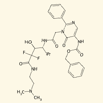 CC(C)C(NC(=O)Cn1c(-c2ccccc2)ncc(NC(=O)OCc2ccccc2)c1=O)C(O)C(F)(F)C(=O)NCCN(C)C